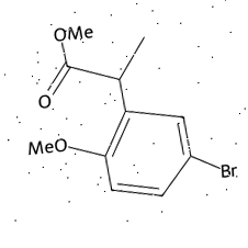 COC(=O)C(C)c1cc(Br)ccc1OC